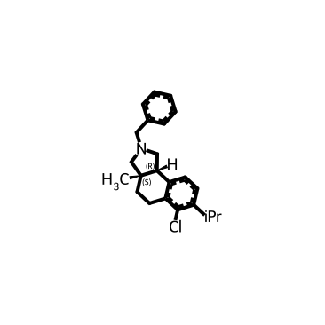 CC(C)c1ccc2c(c1Cl)CC[C@]1(C)CN(Cc3ccccc3)C[C@H]21